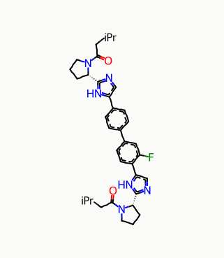 CC(C)CC(=O)N1CCC[C@H]1c1ncc(-c2ccc(-c3ccc(-c4cnc([C@@H]5CCCN5C(=O)CC(C)C)[nH]4)c(F)c3)cc2)[nH]1